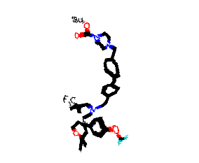 CC(C)(C)OC(=O)N1CCN(CC2CC=C(c3ccc(CN(CC[C@@]4(c5ccc(OC(F)F)cc5)CCOC(C)(C)C4)CC(C)(C)C(F)(F)F)cc3)CC2)CC1